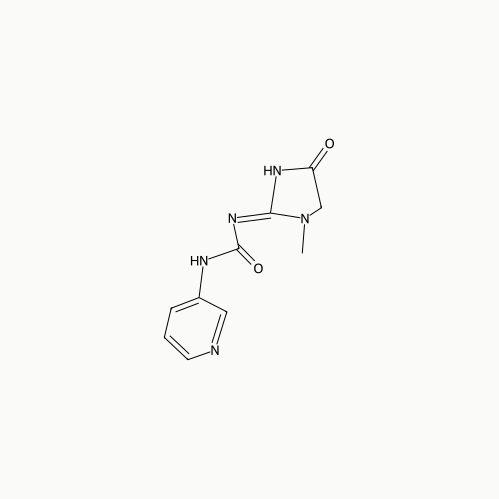 CN1CC(=O)NC1=NC(=O)Nc1cccnc1